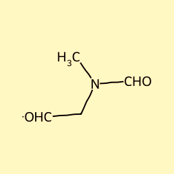 CN(C=O)C[C]=O